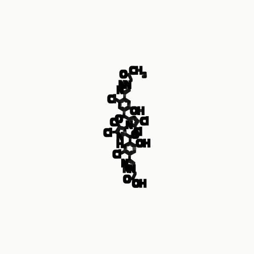 CC(=O)Cn1cc(-c2cc(O)c(C(=O)c3cc(Cl)c(Cl)n3-c3c(C(=O)c4cc(Cl)c(-c5cn(CC(=O)O)nn5)cc4O)[nH]c(Cl)c3Cl)cc2Cl)nn1